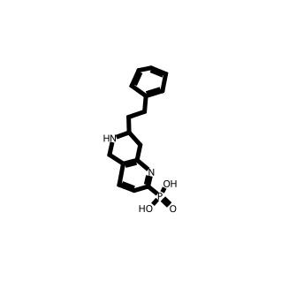 O=P(O)(O)c1ccc2c(n1)CC(CCc1ccccc1)NC2